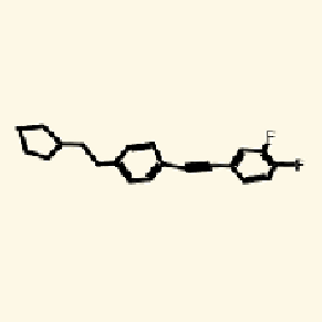 Fc1ccc(C#Cc2ccc(CCC3CCCC3)cc2)cc1F